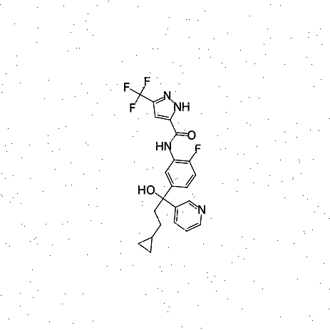 O=C(Nc1cc(C(O)(CCC2CC2)c2cccnc2)ccc1F)c1cc(C(F)(F)F)n[nH]1